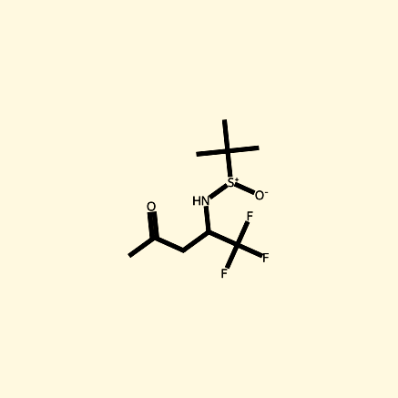 CC(=O)CC(N[S+]([O-])C(C)(C)C)C(F)(F)F